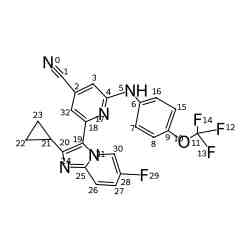 N#Cc1cc(Nc2ccc(OC(F)(F)F)cc2)nc(-c2c(C3CC3)nc3ccc(F)cn23)c1